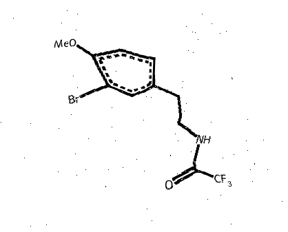 COc1ccc(CCNC(=O)C(F)(F)F)cc1Br